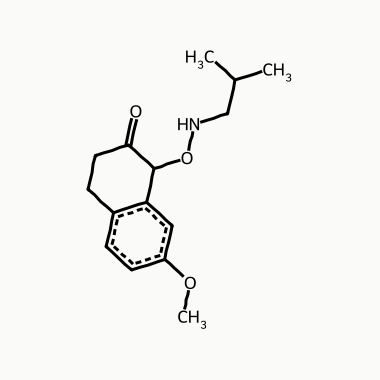 COc1ccc2c(c1)C(ONCC(C)C)C(=O)CC2